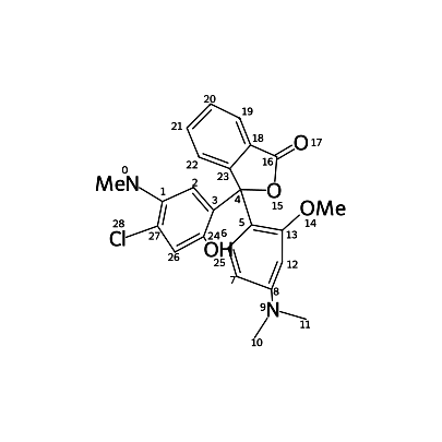 CNc1cc(C2(c3ccc(N(C)C)cc3OC)OC(=O)c3ccccc32)c(O)cc1Cl